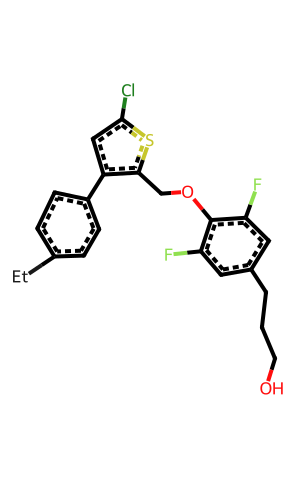 CCc1ccc(-c2cc(Cl)sc2COc2c(F)cc(CCCO)cc2F)cc1